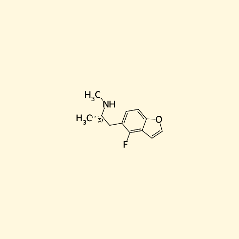 CN[C@@H](C)Cc1ccc2occc2c1F